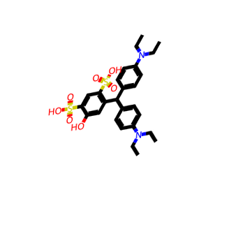 CCN(CC)c1ccc(C(c2ccc(N(CC)CC)cc2)c2cc(O)c(S(=O)(=O)O)cc2S(=O)(=O)O)cc1